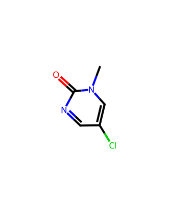 Cn1cc(Cl)cnc1=O